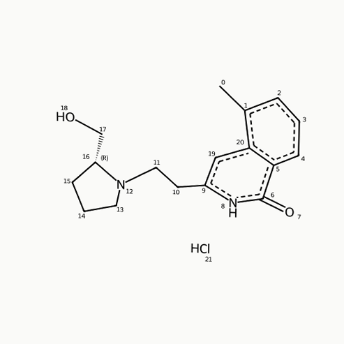 Cc1cccc2c(=O)[nH]c(CCN3CCC[C@@H]3CO)cc12.Cl